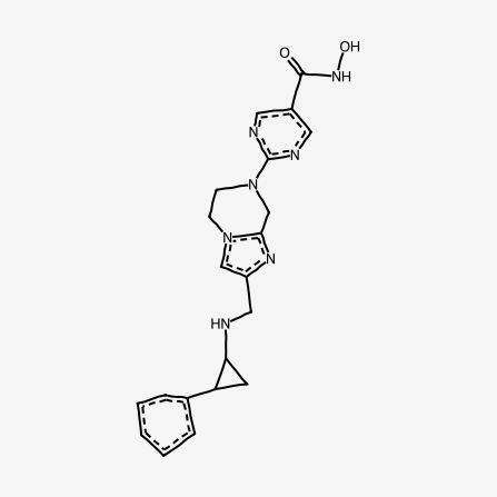 O=C(NO)c1cnc(N2CCn3cc(CNC4CC4c4ccccc4)nc3C2)nc1